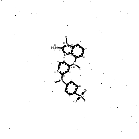 CN(c1ccc(S(C)(=O)=O)cc1)c1cc(N(C)c2cccc3c2nc(N)n3C)ccn1